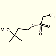 COC(C)(C)CCOS(=O)(=O)CC(F)(F)F